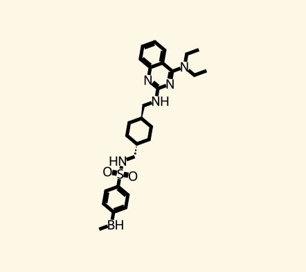 CBc1ccc(S(=O)(=O)NC[C@H]2CC[C@H](CNc3nc(N(CC)CC)c4ccccc4n3)CC2)cc1